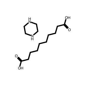 C1CNCCN1.O=C(O)CCCCCCCCC(=O)O